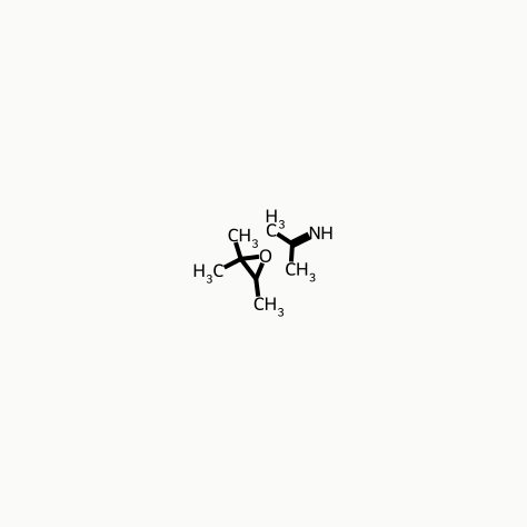 CC(C)=N.CC1OC1(C)C